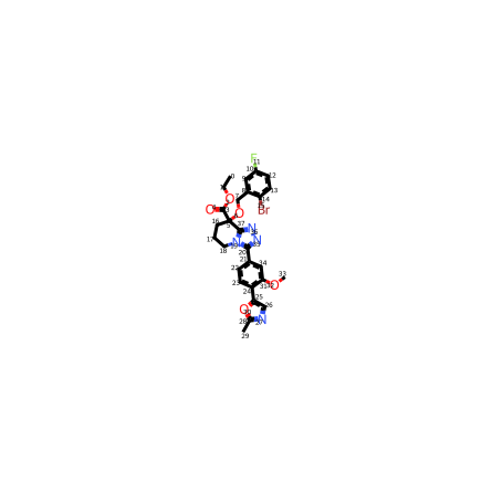 CCOC(=O)C1(OCc2cc(F)ccc2Br)CCCn2c(-c3ccc(-c4cnc(C)o4)c(OC)c3)nnc21